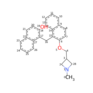 CN1CC(COc2ccc3ccccc3c2Cc2c(O)ccc3ccccc23)C1